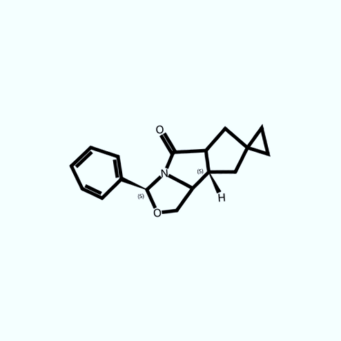 O=C1C2CC3(CC3)C[C@@H]2C2CO[C@@H](c3ccccc3)N12